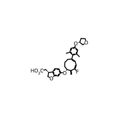 C=C1/C(F)=C\C=C(\c2c(C)cc(O[C@@H]3CCOC3)cc2C)CCC[C@H]1Oc1ccc2c(c1)OC[C@H]2CC(=O)O